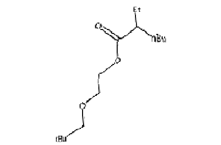 CCCCC(CC)C(=O)OCCOCC(C)(C)C